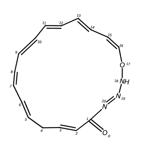 O=C1/C=C/C/C=C/C=C\C=C\C=C\C=C\C=C/ON/N=N/1